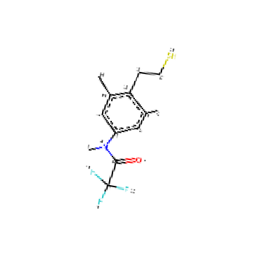 Cc1cc(N(C)C(=O)C(F)(F)F)cc(C)c1CCS